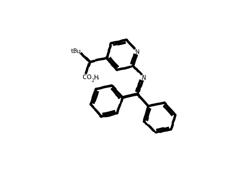 CC(C)(C)C(C(=O)O)c1ccnc(N=C(c2ccccc2)c2ccccc2)c1